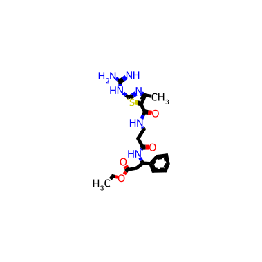 CCOC(=O)CC(NC(=O)CCNC(=O)c1sc(NC(=N)N)nc1C)c1ccccc1